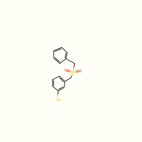 O=S(=O)(Cc1ccccc1)Cc1cccc(S)c1